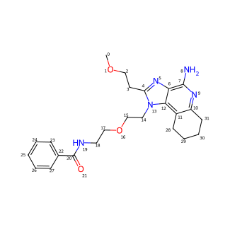 COCCc1nc2c(N)nc3c(c2n1CCOCCNC(=O)c1ccccc1)CCCC3